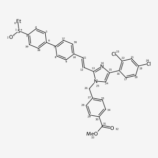 CC[S+]([O-])c1ccc(-c2ccc(C=Cc3nc(-c4ccc(Cl)cc4Cl)cn3Cc3ccc(C(=O)OC)cc3)cc2)cc1